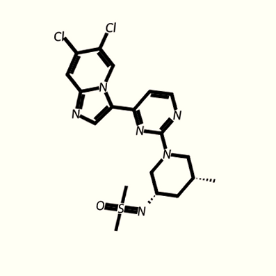 C[C@@H]1C[C@H](N=S(C)(C)=O)CN(c2nccc(-c3cnc4cc(Cl)c(Cl)cn34)n2)C1